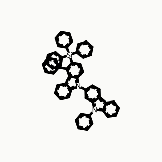 c1ccc(-c2c([Si](c3ccccc3)(c3ccccc3)c3ccccc3)ccc3c2c2ccccc2n3-c2ccc3c4ccccc4n(-c4ccccc4)c3c2)cc1